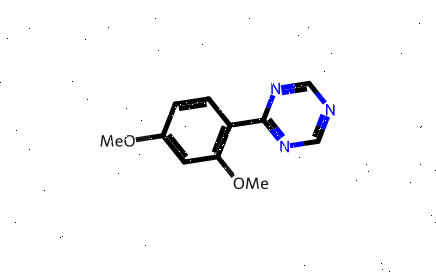 COc1ccc(-c2ncncn2)c(OC)c1